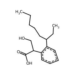 CCCCCC(CC)c1ccccc1C(CO)C(=O)O